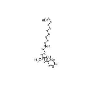 CCCCCCCCCCCCCCCCCCNCCC[N+](C)(C)Cc1ccccc1